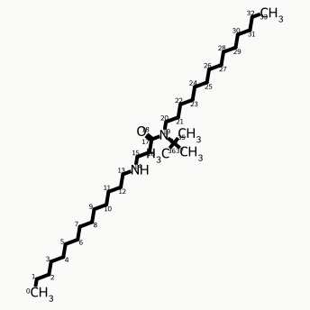 CCCCCCCCCCCCCCNCCC(=O)N(CCCCCCCCCCCCCC)C(C)(C)C